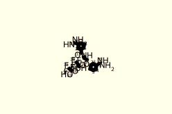 N=C(N)c1cccc(OCCNC(=O)c2cccc(C(=N)N)c2)c1.O=C(O)C(F)(F)F.O=C(O)C(F)(F)F